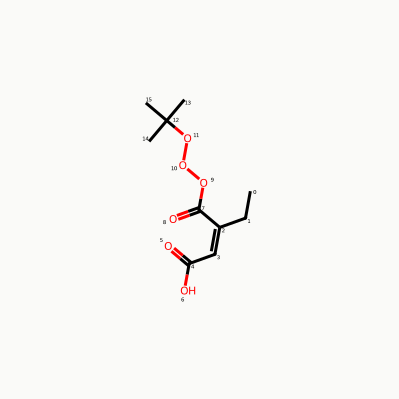 CCC(=CC(=O)O)C(=O)OOOC(C)(C)C